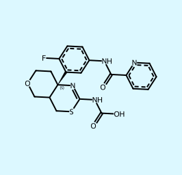 O=C(O)NC1=N[C@@]2(c3cc(NC(=O)c4ccccn4)ccc3F)CCOCC2CS1